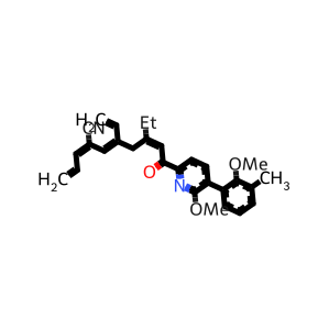 C=C/C=C(C#N)\C=C(/C=C)C/C(=C\C(=O)c1ccc(-c2cccc(C)c2OC)c(OC)n1)CC